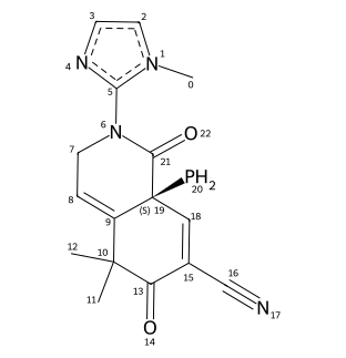 Cn1ccnc1N1CC=C2C(C)(C)C(=O)C(C#N)=C[C@@]2(P)C1=O